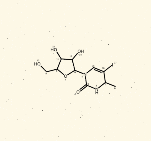 CC1NC(=O)N(C2OC(CO)C(O)C2O)C=C1I